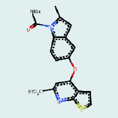 CCOC(=O)c1cc(Oc2ccc3c(c2)cc(C)n3C(=O)NC)c2ccsc2n1